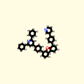 c1ccc(-c2cc(-c3ccc(-c4cccc5c4oc4c(-c6ccc(-c7cccnc7)cc6)cccc45)cc3)cc(-c3ccccc3)n2)cc1